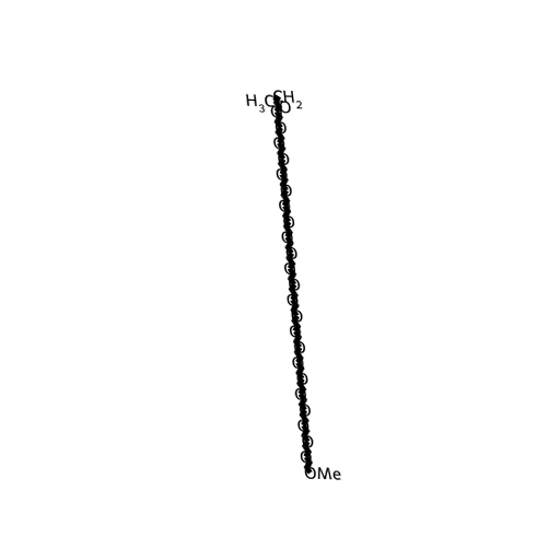 C=C(C)C(=O)OCCOCCOCCOCCOCCOCCOCCOCCOCCOCCOCCOCCOCCOCCOCCOCCOCCOCCOCCOCCOCCOCCOCCOC